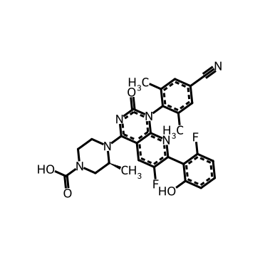 Cc1cc(C#N)cc(C)c1-n1c(=O)nc(N2CCN(C(=O)O)C[C@@H]2C)c2cc(F)c(-c3c(O)cccc3F)nc21